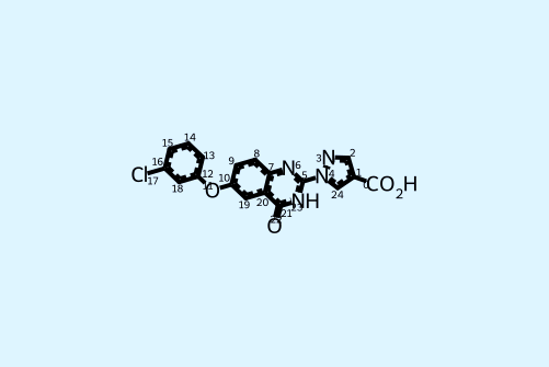 O=C(O)c1cnn(-c2nc3ccc(Oc4cccc(Cl)c4)cc3c(=O)[nH]2)c1